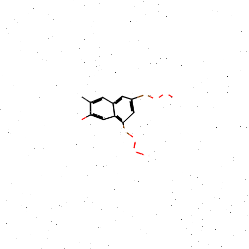 O=S(=O)(O)c1cc2cc(SOOO)cc(SOOO)c2cc1O